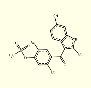 CCc1cc(OS(=O)(=O)C(F)(F)F)c(C(C)=O)cc1C(=O)c1c(CC)[nH]c2cc(C#N)ccc12